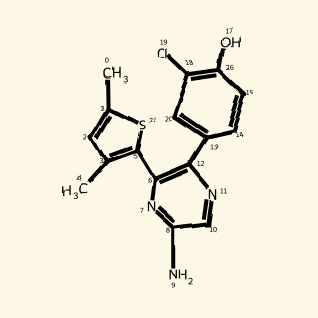 Cc1cc(C)c(-c2nc(N)cnc2-c2ccc(O)c(Cl)c2)s1